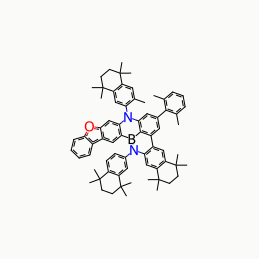 Cc1cc2c(cc1N1c3cc4oc5ccccc5c4cc3B3c4c(cc(-c5c(C)cccc5C)cc41)-c1cc4c(cc1N3c1ccc3c(c1)C(C)(C)CCC3(C)C)C(C)(C)CCC4(C)C)C(C)(C)CCC2(C)C